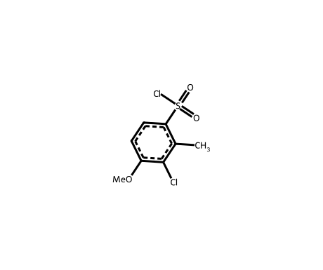 COc1ccc(S(=O)(=O)Cl)c(C)c1Cl